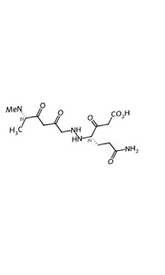 CN[C@@H](C)C(=O)CC(=O)CNN[C@@H](CCC(N)=O)C(=O)CC(=O)O